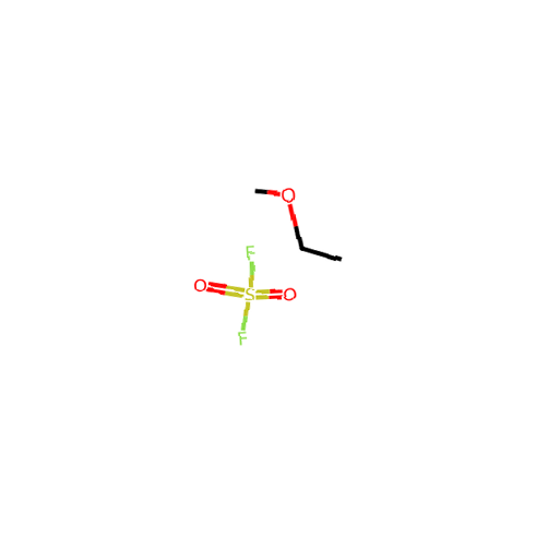 CCOC.O=S(=O)(F)F